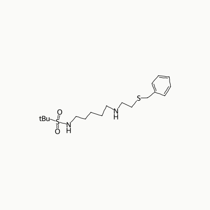 CC(C)(C)S(=O)(=O)NCCCCCNCCSCc1ccccc1